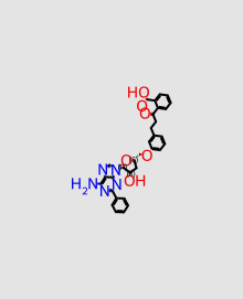 Nc1nc(-c2ccccc2)nc2c1ncn2[C@@H]1O[C@H](COc2cccc(CCC(=O)c3ccccc3C(=O)O)c2)C[C@H]1O